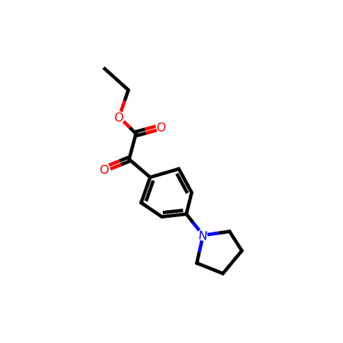 CCOC(=O)C(=O)c1ccc(N2CCCC2)cc1